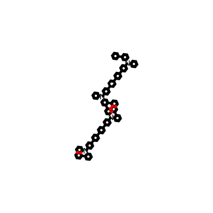 C1=CC(c2ccc(N(c3ccccc3)c3ccc(-c4ccc(N(c5ccc(-c6ccc(-c7ccc(-c8ccc(N(c9ccccc9)c9ccccc9-c9ccccc9)cc8)cc7)cc6)cc5)c5ccccc5-c5ccccc5)cc4)c(-c4ccccc4)c3)cc2)CC=C1c1ccc(-c2ccc(N(c3ccccc3)c3cccc(-c4ccccc4)c3)cc2)cc1